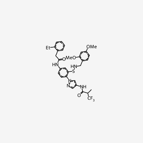 CCc1ccccc1CC(=O)Nc1ccc(-n2cc(NC(=O)C(C)C(F)(F)F)cn2)c(SNCc2ccc(OC)cc2OC)c1